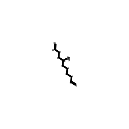 C=CCCCCC(Br)CCC=C